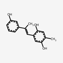 CC(=Cc1cc(O)c(C)cc1O)c1cccc(O)c1